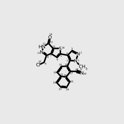 Cn1ncc(-c2cc3c(CCl)n[nH]c(=O)c3s2)c1-c1ccc2ccccc2c1C#N